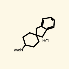 CNC1CCC2(CC1)Cc1ccccc1C2.Cl